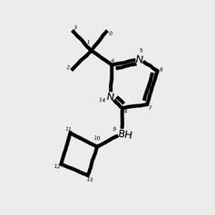 CC(C)(C)c1nccc(BC2CCC2)n1